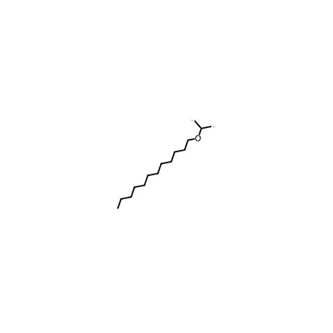 [CH2]C([CH2])OCCCCCCCCCCCC